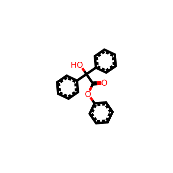 O=C(Oc1ccccc1)C(O)(c1ccccc1)c1ccccc1